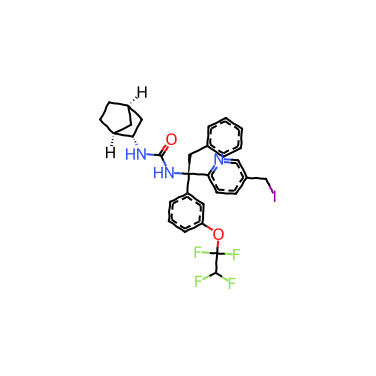 O=C(N[C@H]1C[C@@H]2CC[C@H]1C2)N[C@@](Cc1ccccc1)(c1cccc(OC(F)(F)C(F)F)c1)c1ccc(CI)cn1